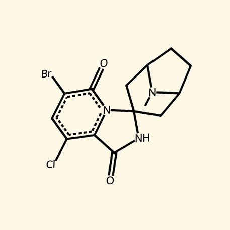 CN1C2CCC1CC1(C2)NC(=O)c2c(Cl)cc(Br)c(=O)n21